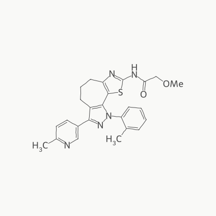 COCC(=O)Nc1nc2c(s1)-c1c(c(-c3ccc(C)nc3)nn1-c1ccccc1C)CCC2